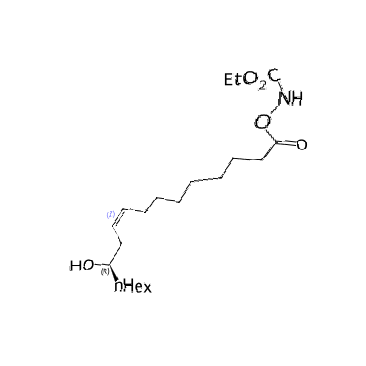 CCCCCC[C@@H](O)C/C=C\CCCCCCCC(=O)ONC(=O)OCC